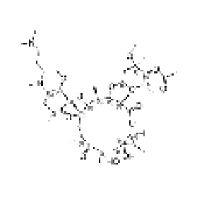 CO[C@H]1[C@H](O[C@@H]2[C@@H](C)[C@H](O[C@H]3C[C@@](C)(OC)[C@@H](OC(C)=O)[C@H](C)O3)[C@@H](C)C(=O)O[C@@H]3C(C)[C@]3(O)[C@H](O)[C@@H](C)C(=O)[C@H](C)C[C@]2(C)OC)O[C@H](C)C[C@@H]1N(C)CCCN(C)C